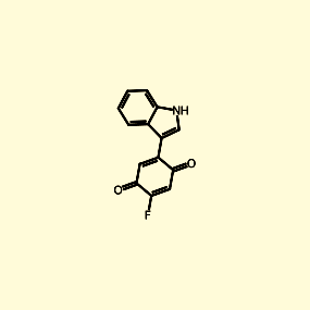 O=C1C=C(c2c[nH]c3ccccc23)C(=O)C=C1F